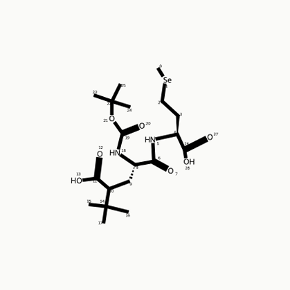 C[Se]CC[C@H](NC(=O)[C@H](CC(C(=O)O)C(C)(C)C)NC(=O)OC(C)(C)C)C(=O)O